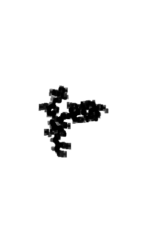 CC(CO)(CO)CO.CCC(CO)(CO)CO.Cc1cn([C@H]2C[C@H](O)[C@@H](COP(=O)(O)O)O2)c(=O)[nH]c1=O.NCC(=O)O.OCC(O)CO